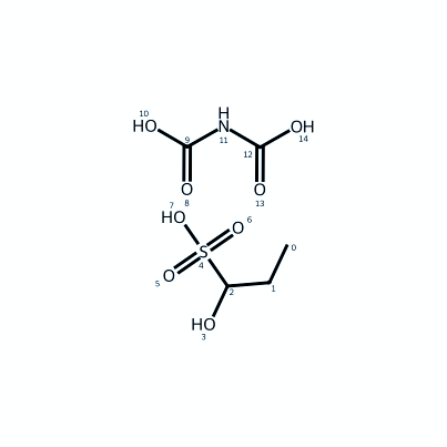 CCC(O)S(=O)(=O)O.O=C(O)NC(=O)O